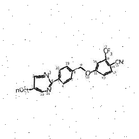 CCCCCCCCc1cnc(-c2ccc(COc3ccc(C#N)c(C(F)(F)F)c3)cc2)nc1